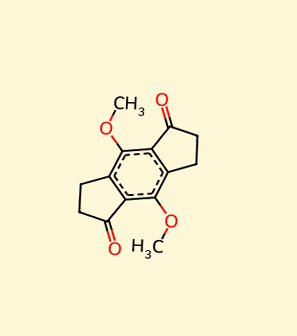 COc1c2c(c(OC)c3c1C(=O)CC3)C(=O)CC2